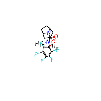 CN(C)C(=O)N1C2CCC1CC(Oc1c(F)c(F)c(F)c(F)c1F)C2